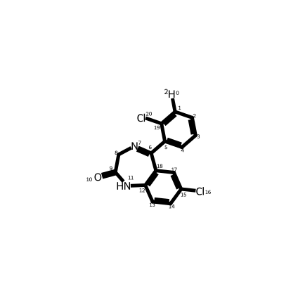 [2H]c1cccc(C2=NCC(=O)Nc3ccc(Cl)cc32)c1Cl